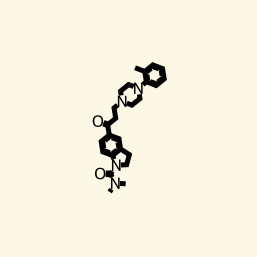 Cc1ccccc1N1CCN(CCC(=O)c2ccc3c(c2)CCN3C(=O)N(C)C)CC1